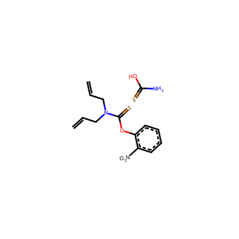 C=CCN(CC=C)C(=S)Oc1ccccc1[N+](=O)[O-].NC(O)=S